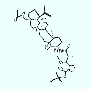 C=C(C)[C@@H]1CC[C@]2(COC(C)=O)CC[C@]3(C)C(CCC4[C@@]5(C)CC[C@H](NC(=O)[C@H](C)[C@@H](OC)C6CCCN6C(=O)OC(C)(C)C)C(C)(C)[C@@H]5CC[C@]43C)[C@@H]12